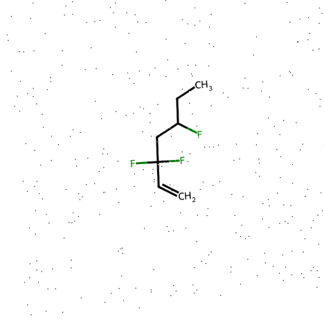 C=CC(F)(F)CC(F)CC